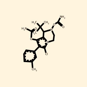 Cc1cccc(-c2c(OC(N)=O)c3n(c2Cl)CCN(OC(N)=O)C3C(C)(C)C)c1